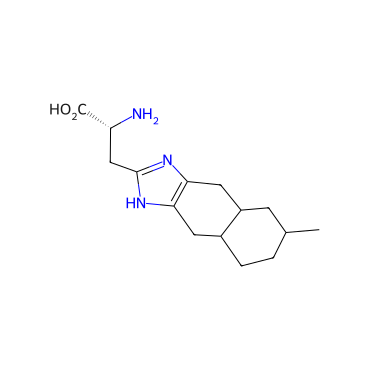 CC1CCC2Cc3[nH]c(C[C@@H](N)C(=O)O)nc3CC2C1